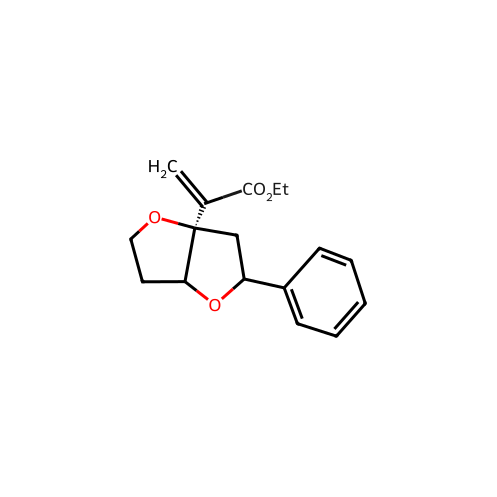 C=C(C(=O)OCC)[C@]12CC(c3ccccc3)OC1CCO2